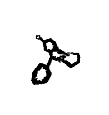 Clc1ccc2c(c1)c(-c1ccccc1)n1[n+]2CCC1